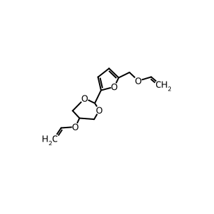 C=COCc1ccc(C2OCC(OC=C)CO2)o1